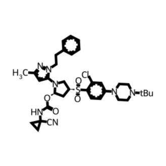 Cc1cc(N2C[C@H](S(=O)(=O)c3ccc(N4CCN(C(C)(C)C)CC4)cc3Cl)C[C@@H]2OC(=O)NC2(C#N)CC2)n(CCc2ccccc2)n1